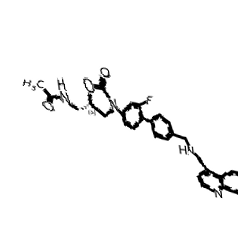 CC(=O)NC[C@H]1CN(c2ccc(-c3ccc(CNCc4ccnc5ccccc45)cc3)c(F)c2)C(=O)O1